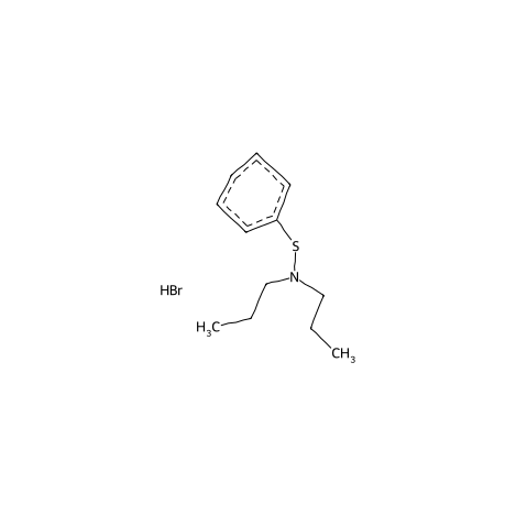 Br.CCCN(CCC)Sc1ccccc1